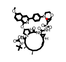 COc1ccc2c(O[C@@H]3C[C@H]4C(=O)N[C@]5(C(=O)NS(=O)(=O)C6CC6)C[C@H]5/C=C\CC[C@@H](C)C[C@@H](C)[C@H](N(C(=O)O)C(C)(C)C)C(=O)N4C3)nc(-c3ccc(N4CCOCC4)cc3)cc2c1